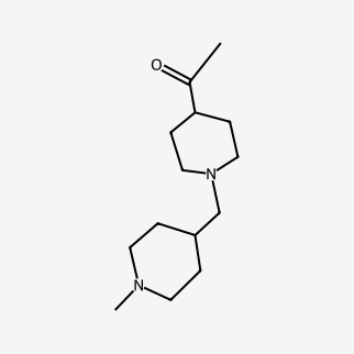 CC(=O)C1CCN(CC2CCN(C)CC2)CC1